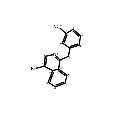 N#Cc1cccc(Cc2ncc(Br)c3ccccc23)c1